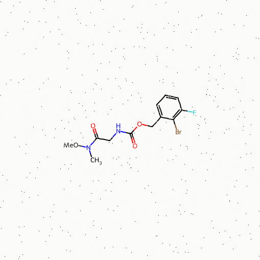 CON(C)C(=O)CNC(=O)OCc1cccc(F)c1Br